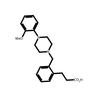 COc1ccccc1N1CCN(Cc2ccccc2CCC(=O)O)CC1